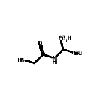 CCCCC(NC(=O)CS)C(=O)O